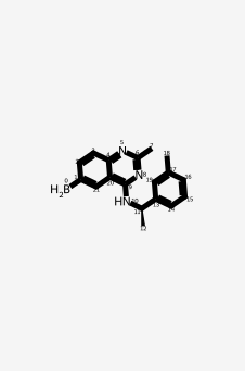 Bc1ccc2nc(C)nc(N[C@H](C)c3cccc(C)c3)c2c1